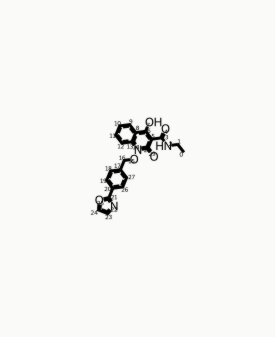 CCNC(=O)c1c(O)c2ccccc2n(OCc2ccc(-c3ncco3)cc2)c1=O